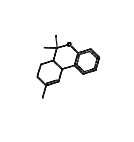 CC1=CC2c3ccccc3OC(C)(C)C2CC1